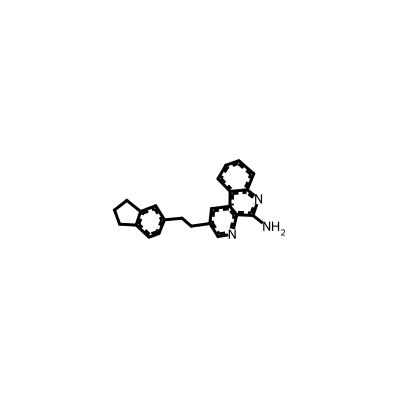 Nc1nc2ccccc2c2cc(CCc3ccc4c(c3)CCC4)cnc12